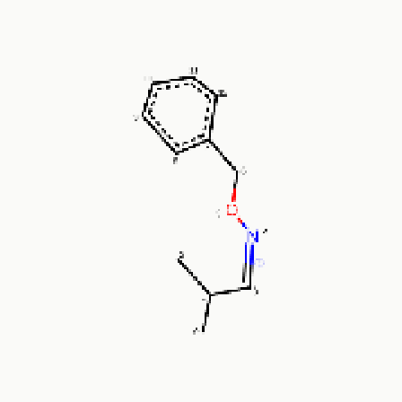 CC(C)/[C]=N\OCc1ccccc1